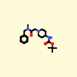 CN(Cc1ccccc1)C(=O)CN1CCC(NC(=O)OC(C)(C)C)CC1